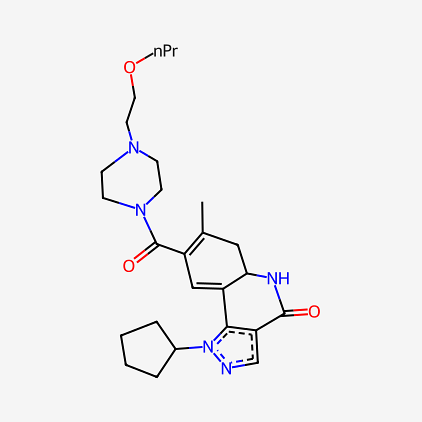 CCCOCCN1CCN(C(=O)C2=C(C)CC3NC(=O)c4cnn(C5CCCC5)c4C3=C2)CC1